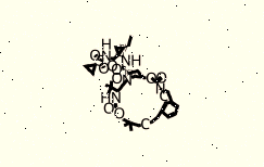 CC[C@@H]1C[C@]1(NC(=O)[C@@H]1CC2CN1C(=O)C(C(C)(C)C)NC(=O)OCC(C)(C)CCCCc1cccc3c1CN(C3)C(=O)O2)C(=O)NS(=O)(=O)C1CC1